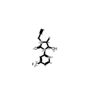 C#CCN1C(=O)N(c2cc(C(F)(F)F)ccn2)C(O)C1C